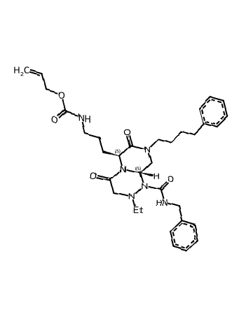 C=CCOC(=O)NCCC[C@H]1C(=O)N(CCCCc2ccccc2)C[C@H]2N1C(=O)CN(CC)N2C(=O)NCc1ccccc1